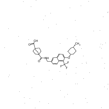 C[C@H]1CC[C@@H](Oc2ccc3cc(CNC(=O)C45CCC(C(=O)O)(CC4)CC5)ccc3c2C(F)(F)F)CC1